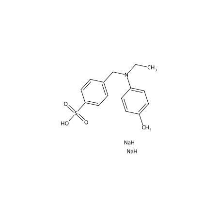 CCN(Cc1ccc(S(=O)(=O)O)cc1)c1ccc(C)cc1.[NaH].[NaH]